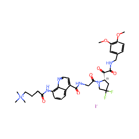 COc1ccc(CNC(=O)C(=O)[C@@H]2CC(F)(F)CN2C(=O)CNC(=O)c2ccnc3c(NC(=O)CCC[N+](C)(C)C)cccc23)cc1OC.[I-]